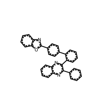 c1ccc(-c2nc3ccccc3nc2-c2ccccc2-c2ccc(-c3nc4ccccc4o3)cc2)cc1